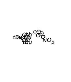 CC(C)(C)OC(=O)N(C(=O)OC(C)(C)C)c1ncc([C@@H]2CC[C@@H](OC(=O)Oc3ccc([N+](=O)[O-])cc3)C2)cn1